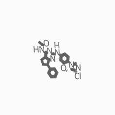 COc1cc(Nc2nc(NC(C)=O)c3c(n2)C(c2ccccc2)CC3)ccc1-n1cnc(Cl)c1